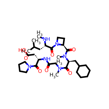 CN[C@@H](CC(C)C)C(=O)N1CC[C@H]1C(=O)N(C)[C@@H](CC1CCCCC1)C(=O)N(C)CC(=O)N[C@@H](CC(=O)O)C(=O)N1CCCC1